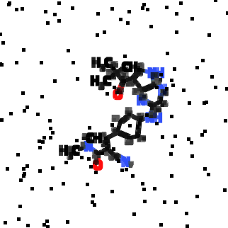 CN(C)C(=O)/C(C#N)=C/c1ccc(Nc2cnc3[nH]cc(C(=O)C(C)(C)C)c3n2)cc1